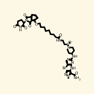 Cn1ncc(Nc2nc(NC3CCN([S+]([O-])CCNC(=O)CCCCCCCCOc4cccc5c4C(=O)N(C4CCC(=O)NC4=O)C5=O)CC3)ncc2Br)c1C(N)=O